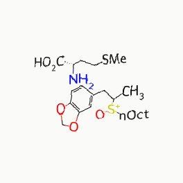 CCCCCCCC[S+]([O-])C(C)Cc1ccc2c(c1)OCO2.CSCC[C@H](N)C(=O)O